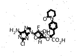 Nc1nc(Cl)nc2c1ncn2[C@@H]1O[C@@H]2C(OC(Cc3ccc(N4CCCCC4=O)cc3)(C(=O)O)C(=O)O)[C@]2(O)[C@@H]1F